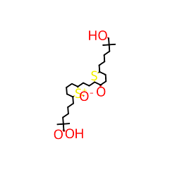 CC(C)(CO)CCCCC1CCC(=O)C(CCC2CCCC(CCCCC(C)(C)C(=O)O)[S+]2[O-])S1